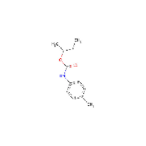 CCC(C)OC(=O)Nc1ccc(C)cc1